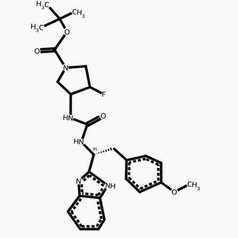 COc1ccc(C[C@@H](NC(=O)NC2CN(C(=O)OC(C)(C)C)CC2F)c2nc3ccccc3[nH]2)cc1